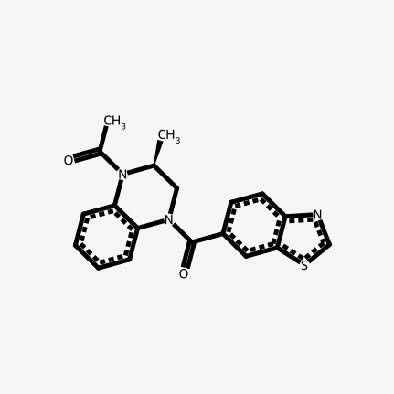 CC(=O)N1c2ccccc2N(C(=O)c2ccc3ncsc3c2)C[C@@H]1C